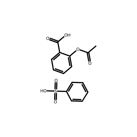 CC(=O)Oc1ccccc1C(=O)O.O=S(=O)(O)c1ccccc1